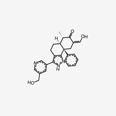 C[C@@H]1C(=O)C(=CO)C[C@]2(c3ccccc3)c3n[nH]c(-c4cncc(CO)c4)c3CC[C@@H]12